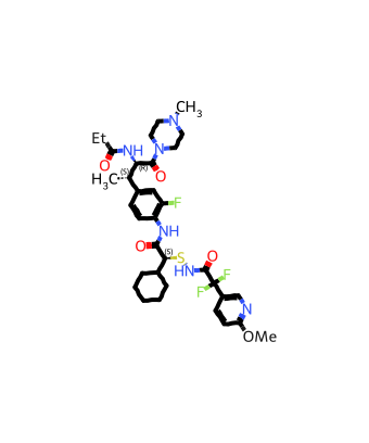 CCC(=O)N[C@@H](C(=O)N1CCN(C)CC1)[C@@H](C)c1ccc(NC(=O)[C@@H](SNC(=O)C(F)(F)c2ccc(OC)nc2)C2CCCCC2)c(F)c1